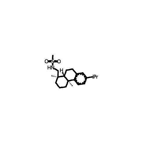 CC(C)c1ccc2c(c1)CC[C@H]1[C@](C)(CNS(C)(=O)=O)CCC[C@]21C